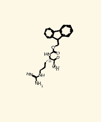 [2H]OC(=O)[C@H](CCCNC(=N)N)NC(=O)OCC1c2ccccc2-c2ccccc21